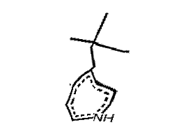 CC(C)(C)c1[c]c[nH]c1